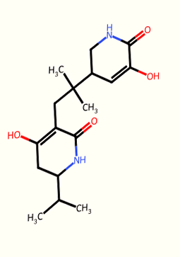 CC(C)C1CC(O)=C(CC(C)(C)C2C=C(O)C(=O)NC2)C(=O)N1